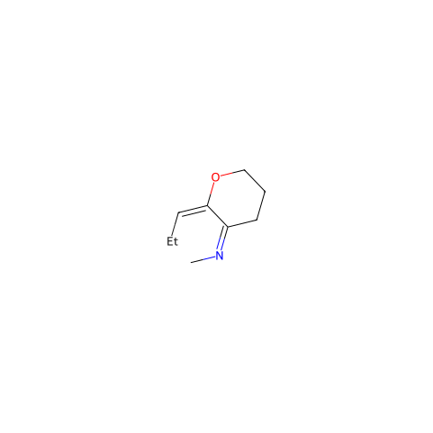 CC/C=C1/OCCC/C1=N/C